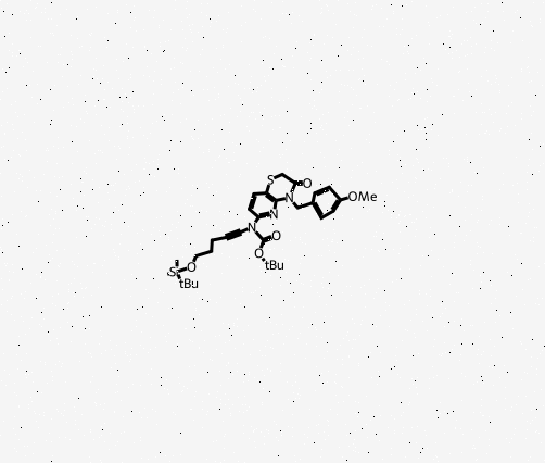 COc1ccc(CN2C(=O)CSc3ccc(N(C#CCCCO[Si](C)(C)C(C)(C)C)C(=O)OC(C)(C)C)nc32)cc1